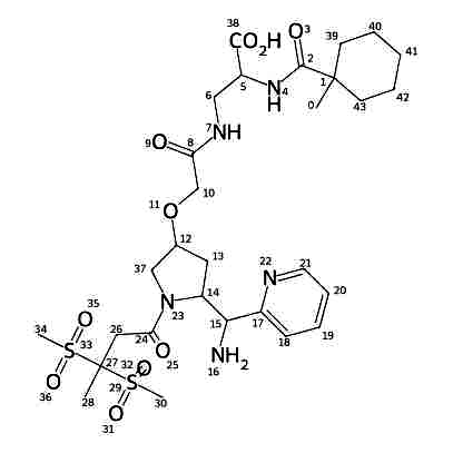 CC1(C(=O)NC(CNC(=O)COC2CC(C(N)c3ccccn3)N(C(=O)CC(C)(S(C)(=O)=O)S(C)(=O)=O)C2)C(=O)O)CCCCC1